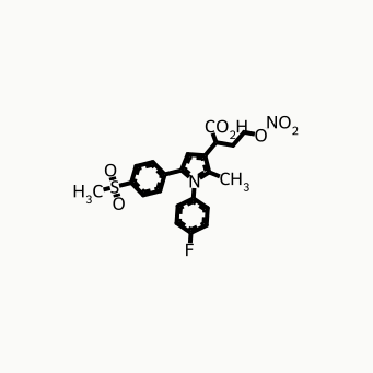 Cc1c(C(CCO[N+](=O)[O-])C(=O)O)cc(-c2ccc(S(C)(=O)=O)cc2)n1-c1ccc(F)cc1